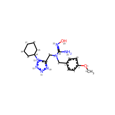 COc1ccc(CN(Cc2nnnn2C2CCCCC2)/C(N)=N/O)cc1